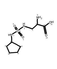 NC(CNS(=O)(=O)NC1CCCC1)C(=O)O